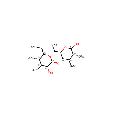 CC(=O)OC[C@H]1O[C@@H](O)[C@H](OC(C)=O)[C@@H](OC(C)=O)[C@@H]1O[C@@H]1O[C@H](COC(C)=O)[C@@H](OC(C)=O)[C@H](OC(C)=O)[C@H]1O